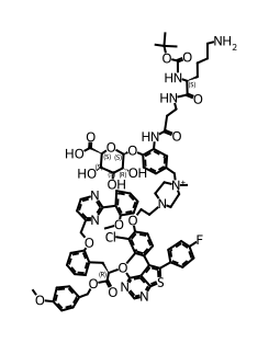 COc1ccc(COC(=O)[C@@H](Cc2ccccc2OCc2ccnc(-c3ccccc3OC)n2)Oc2ncnc3sc(-c4ccc(F)cc4)c(-c4ccc(OCCN5CC[N+](C)(Cc6ccc(O[C@@H]7O[C@H](C(=O)O)[C@@H](O)[C@H](O)[C@H]7O)c(NC(=O)CCNC(=O)[C@H](CCCCN)NC(=O)OC(C)(C)C)c6)CC5)c(Cl)c4C)c23)cc1